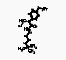 CC(C)Cc1ccc([C@@H](C)C(=O)NCCCC[N+](C)(C)C)cc1.[I-]